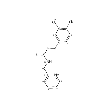 CC(CCc1ccc(Cl)c(Cl)c1)NCc1ccccn1